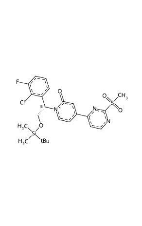 CC(C)(C)[Si](C)(C)OC[C@H](c1cccc(F)c1Cl)n1ccc(-c2ccnc(S(C)(=O)=O)n2)cc1=O